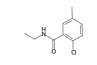 CCNC(=O)c1cc(C)ccc1Cl